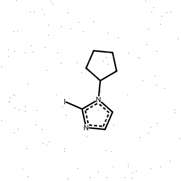 Ic1nccn1C1CCCC1